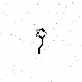 C=CCc1n[c][nH]n1